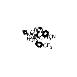 Cc1c(-c2nccn2-c2ccc(C#N)cc2)n(C(=O)NC2CCC2)c(=O)n1-c1cccc(C(F)(F)F)c1